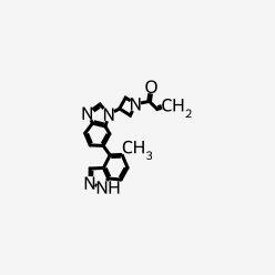 C=CC(=O)N1CC(n2cnc3ccc(-c4c(C)ccc5[nH]ncc45)cc32)C1